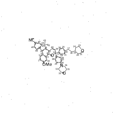 COc1ccc2c3c(c4c(c2c1)OC(c1ccc(CCC2CCOCC2)cc1)(c1ccc(N2CCOCC2)cc1)C=C4)C(C)(C)c1cc(C#N)ccc1-3